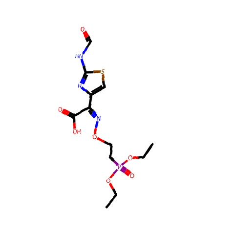 CCOP(=O)(CCON=C(C(=O)O)c1csc(NC=O)n1)OCC